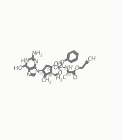 C#CCOC(=O)[C@H](C)N[P@](=O)(OC[C@H]1C(=C)[C@@H](n2cnc3c2N=C(N)NC3O)C[C@@H]1O)Oc1ccccc1